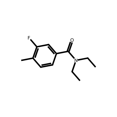 CCN(CC)C(=O)c1ccc(C)c(F)c1